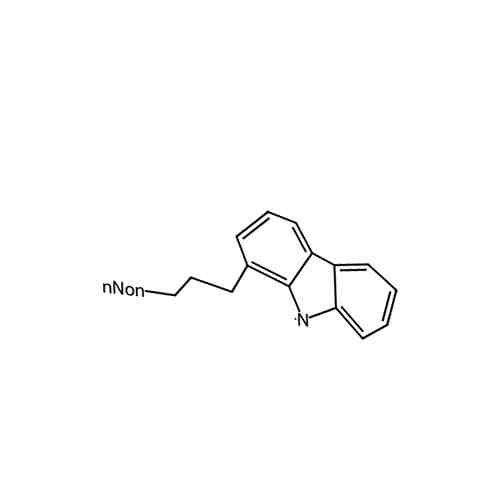 CCCCCCCCCCCCc1cccc2c1[N]c1ccccc1-2